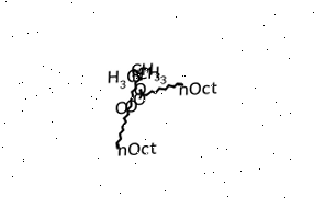 CCCCCCCC/C=C\CCCCCCCC(=O)OCC(CCCC[N+](C)(C)C)OC(=O)CCCCCCC/C=C\CCCCCCCC